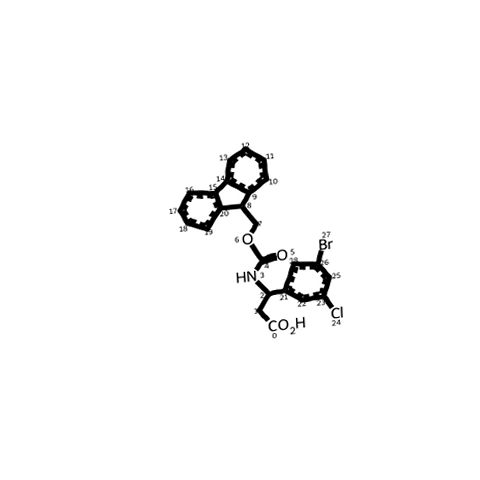 O=C(O)CC(NC(=O)OCC1c2ccccc2-c2ccccc21)c1cc(Cl)cc(Br)c1